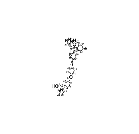 OCC(c1cccc(COc2ccc(C#Cc3ccc(C(F)(F)C(O)(Cn4cnnn4)c4ccc(F)cc4F)nc3)cc2)c1)n1cccn1